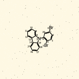 Brc1ccc(Br)c(-n2c3ccccc3c3ccccc32)c1